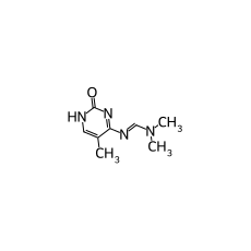 Cc1c[nH]c(=O)nc1N=CN(C)C